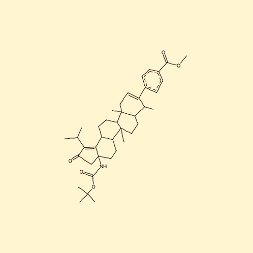 COC(=O)c1ccc(C2=CCC3(C)C(CCC4(C)C5CCC6(NC(=O)OC(C)(C)C)CC(=O)C(C(C)C)=C6C5CCC34)C2C)cc1